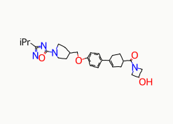 CC(C)c1noc(N2CCC(COc3ccc(C4=CCC(C(=O)N5CC(O)C5)CC4)cc3)CC2)n1